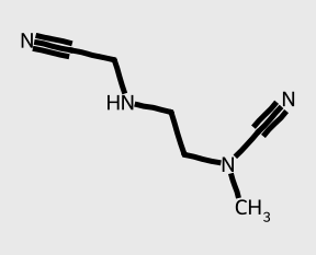 CN(C#N)CCNCC#N